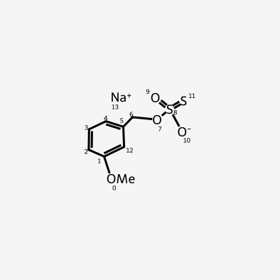 COc1cccc(COS(=O)([O-])=S)c1.[Na+]